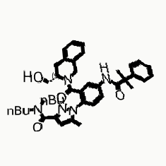 CCCCN(CCCC)C(=O)c1cc(C)n(-c2ccc(NC(=O)C(C)(C)c3ccccc3)cc2C(=O)N2Cc3ccccc3C[C@H]2CO)n1